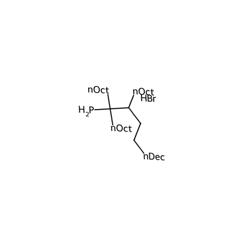 Br.CCCCCCCCCCCCC(CCCCCCCC)C(P)(CCCCCCCC)CCCCCCCC